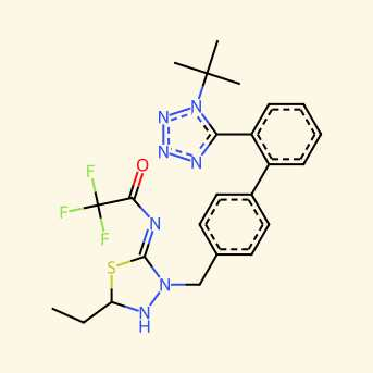 CCC1NN(Cc2ccc(-c3ccccc3-c3nnnn3C(C)(C)C)cc2)C(=NC(=O)C(F)(F)F)S1